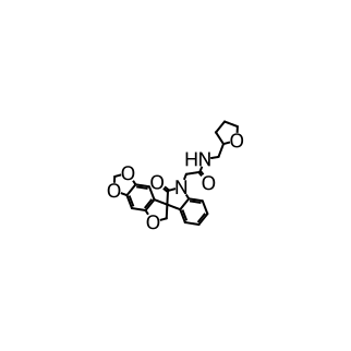 O=C(CN1C(=O)C2(COc3cc4c(cc32)OCO4)c2ccccc21)NCC1CCCO1